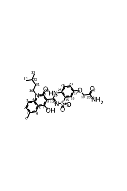 Cc1ccc2c(c1)c(O)c(C1=NS(=O)(=O)c3cc(OCC(N)=O)ccc3N1)c(=O)n2CCC(C)C